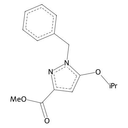 COC(=O)c1cc(OC(C)C)n(Cc2ccccc2)n1